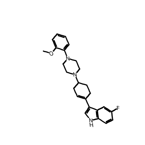 COc1ccccc1N1CCN(C2CC=C(c3c[nH]c4ccc(F)cc34)CC2)CC1